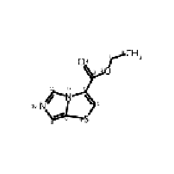 CCOC(=O)c1csc2cncn12